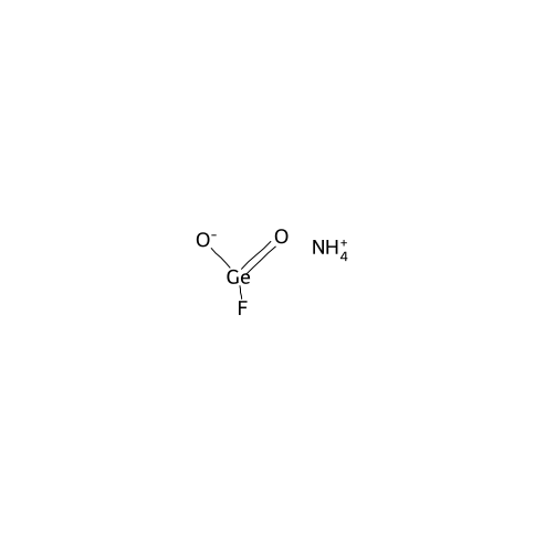 [NH4+].[O]=[Ge]([O-])[F]